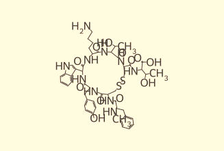 CNC(Cc1ccccc1)C(=O)NC1CSSCC(C(=O)NC(C(=O)O)C(C)O)NC(=O)C(C(C)O)NC(=O)C(CCCCN)NC(=O)C(c2c[nH]c3ccccc23)NC(=O)C(Cc2ccc(O)cc2)NC1=O